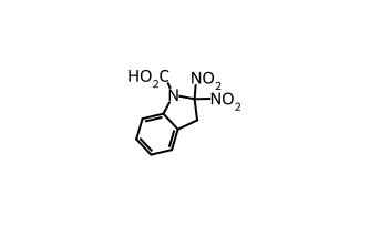 O=C(O)N1c2ccccc2CC1([N+](=O)[O-])[N+](=O)[O-]